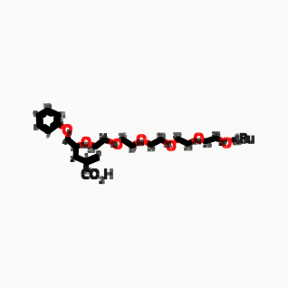 C=C(CC(COc1ccccc1)OCCOCCOCCOCCOCCOC(C)(C)C)C(=O)O